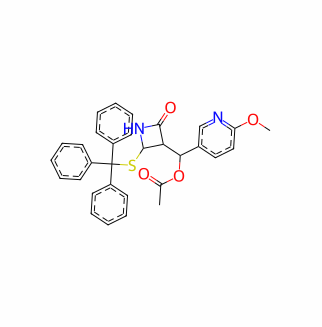 COc1ccc(C(OC(C)=O)C2C(=O)NC2SC(c2ccccc2)(c2ccccc2)c2ccccc2)cn1